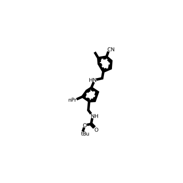 CCCc1cc(NCc2ccc(C#N)c(C)c2)ccc1CNC(=O)OC(C)(C)C